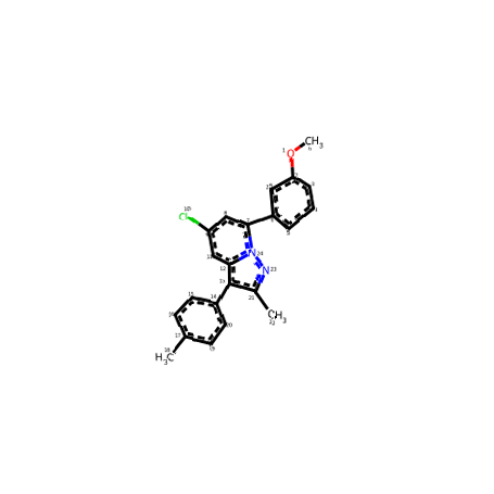 COc1cccc(-c2cc(Cl)cc3c(-c4ccc(C)cc4)c(C)nn23)c1